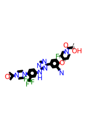 C[C@H](O)C(=O)N1CC[C@H](Oc2ccc(-c3ncnc(Nc4ccc(N5CCN(C6COC6)CC5)c(C(F)(F)F)c4)n3)cc2C#N)[C@@H](F)C1